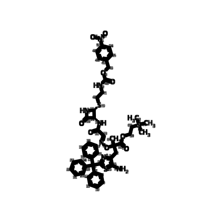 CC(Cc1nc(C(c2ccccc2)(c2ccccc2)c2ccccc2)sc1N)(ON=CC(=O)N[C@@H]1C(=O)N[C@@H]1SCCNC(=O)OCc1ccc([N+](=O)[O-])cc1)C(=O)OCC[Si](C)(C)C